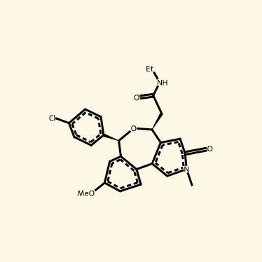 CCNC(=O)C[C@@H]1O[C@H](c2ccc(Cl)cc2)c2cc(OC)ccc2-c2cn(C)c(=O)cc21